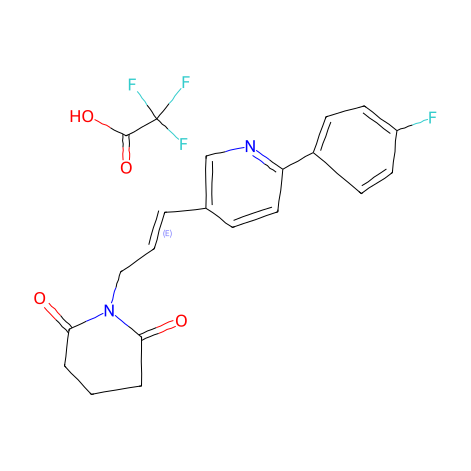 O=C(O)C(F)(F)F.O=C1CCCC(=O)N1C/C=C/c1ccc(-c2ccc(F)cc2)nc1